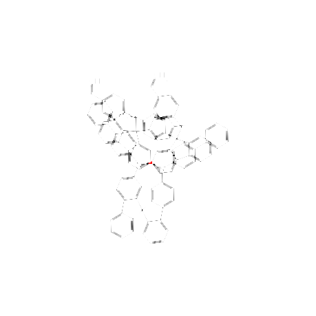 C=Cc1ccc(CC2(c3ccc(C)cc3)c3ccccc3-c3ccc(N(c4ccc(-c5ccccc5)cc4)c4ccc5c(c4)C4(c6ccccc6-5)c5ccccc5-c5ccc(N(c6ccc(-c7ccccc7)cc6)c6ccc7c(c6)C(Cc6ccc(C=C)cc6)(c6ccc(C)cc6)c6ccccc6-7)cc54)cc32)cc1